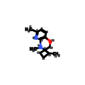 Cc1ccc2c(n1)N(C)C1(CCC1C)CO2